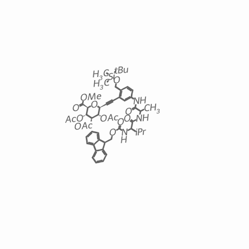 COC(=O)[C@H]1O[C@@H](C#Cc2cc(NC(=O)C(C)NC(=O)C(NC(=O)OCC3c4ccccc4-c4ccccc43)C(C)C)ccc2CO[Si](C)(C)C(C)(C)C)[C@H](OC(C)=O)[C@@H](OC(C)=O)[C@@H]1OC(C)=O